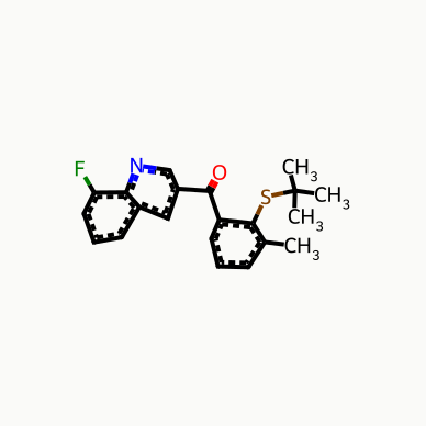 Cc1cccc(C(=O)c2cnc3c(F)cccc3c2)c1SC(C)(C)C